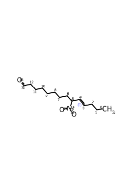 CCC/C=C/C(CCCCCCC[C]=O)[N+](=O)[O-]